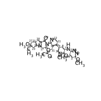 COc1ccc(Nc2cc(-c3ccnc(N4CCn5c(cc6c5CC(C)(C)C6)C4=O)c3COC(C)=O)cn(C)c2=O)nn1